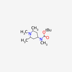 CC1CC(N(C)C(=O)OC(C)(C)C)CC(C)N1C